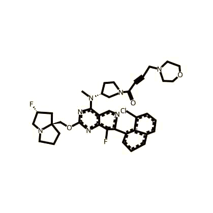 CN(c1nc(OC[C@@]23CCCN2C[C@H](F)C3)nc2c(F)c(-c3cccc4cccc(Cl)c34)ncc12)[C@@H]1CCN(C(=O)C#CCN2CCOCC2)C1